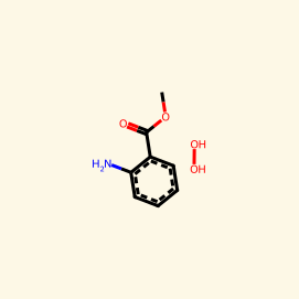 COC(=O)c1ccccc1N.OO